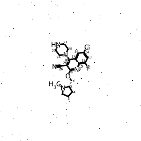 CN1CCC[C@H]1COc1nc2c(F)cc(Cl)cc2c(N2CCNCC2)c1C#N